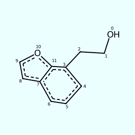 OCCc1cccc2ccoc12